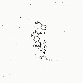 CCCc1cccc(Nc2ncnc3cc(OC)c(N4C(=O)OC5(CN(C(=O)OC(C)(C)C)C5)C4C)cc23)c1C